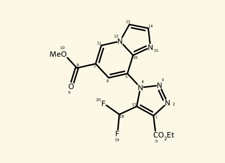 CCOC(=O)c1nnn(-c2cc(C(=O)OC)cn3ccnc23)c1C(F)F